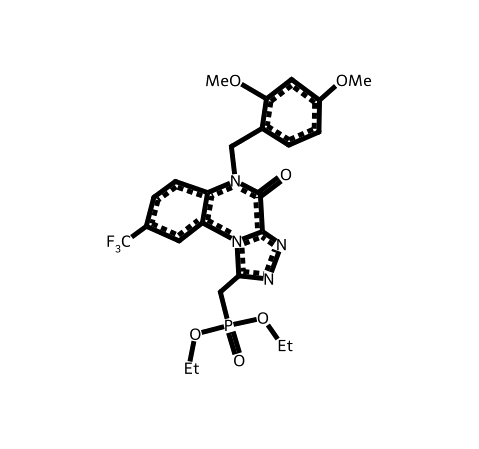 CCOP(=O)(Cc1nnc2c(=O)n(Cc3ccc(OC)cc3OC)c3ccc(C(F)(F)F)cc3n12)OCC